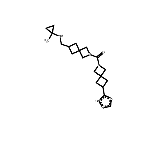 O=C(N1CC2(CC(CNC3(C(F)(F)F)CC3)C2)C1)N1CC2(CC(c3ncn[nH]3)C2)C1